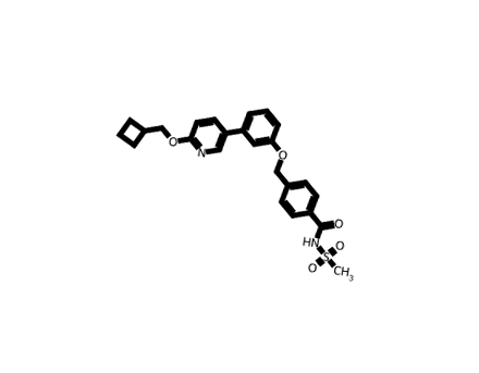 CS(=O)(=O)NC(=O)c1ccc(COc2cccc(-c3ccc(OCC4CCC4)nc3)c2)cc1